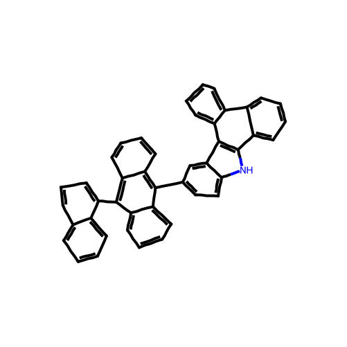 c1ccc2c(-c3c4ccccc4c(-c4ccc5[nH]c6c7ccccc7c7ccccc7c6c5c4)c4ccccc34)cccc2c1